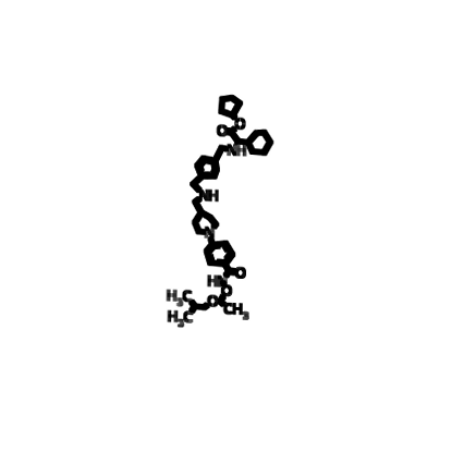 CC(C)COC(C)ONC(=O)c1ccc(N2CCC(CNCc3ccc(CN[C@H](C(=O)OC4CCCC4)C4CCCCC4)cc3)CC2)cc1